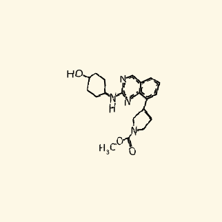 COC(=O)N1CCC(c2cccc3cnc(NC4CCC(O)CC4)nc23)C1